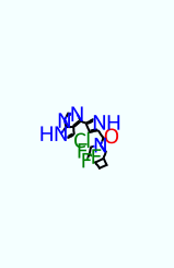 O=C(c1cc(-c2ncnc3[nH]cc(Cl)c23)c[nH]1)N(CC1CCC1)CC(F)(F)F